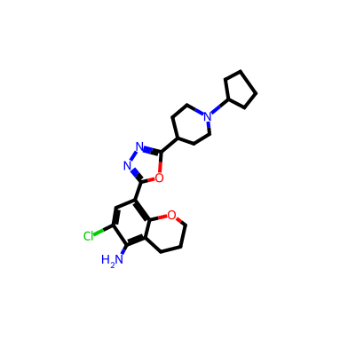 Nc1c(Cl)cc(-c2nnc(C3CCN(C4CCCC4)CC3)o2)c2c1CCCO2